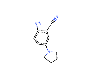 N#Cc1cc(N2CCCC2)ccc1N